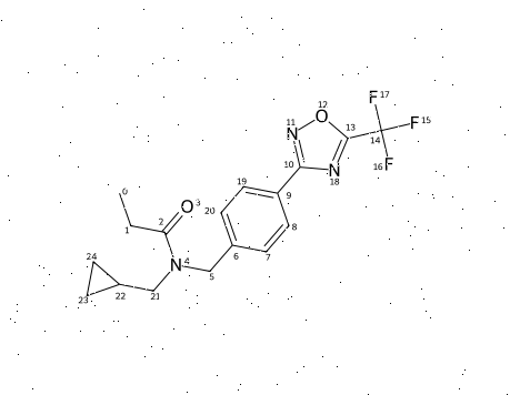 CCC(=O)N(Cc1ccc(-c2noc(C(F)(F)F)n2)cc1)CC1CC1